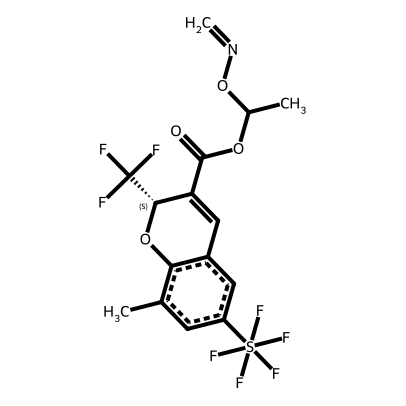 C=NOC(C)OC(=O)C1=Cc2cc(S(F)(F)(F)(F)F)cc(C)c2O[C@@H]1C(F)(F)F